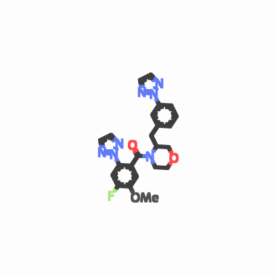 COc1cc(C(=O)N2CCOCC2Cc2cccc(-n3nccn3)c2)c(-n2nccn2)cc1F